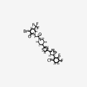 O=C(Cn1cc(C(F)(F)F)cc(Br)c1=O)N1CCC(c2nc(C3=NOC(c4c(Cl)ccc(F)c4F)C3)cs2)CC1